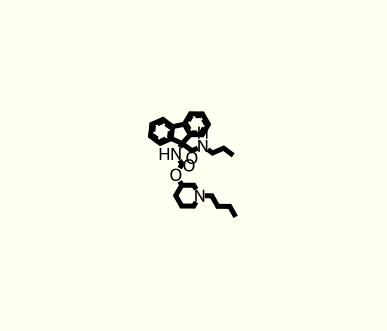 CCCCN1CCCC(OC(=O)NC2(C(=O)NCCC)c3ccccc3-c3ccccc32)C1